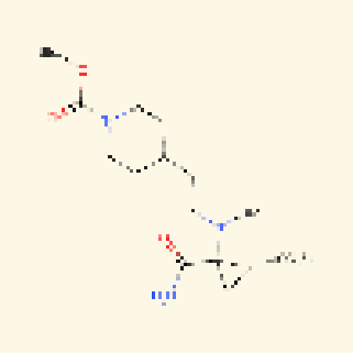 CCOC(=O)[C@@H]1C[C@]1(C(N)=O)N(CCC1CCN(C(=O)OC(C)(C)C)CC1)C(C)=O